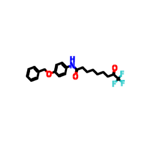 O=C(CCCCCCC(=O)C(F)(F)F)Nc1ccc(OCc2ccccc2)cc1